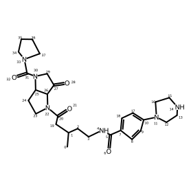 CC(CCNC(=O)c1ccc(N2CCNCC2)cc1)CC(=O)N1CCC2C1C(=O)CN2C(=O)N1CCCC1